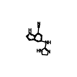 N#Cc1cc(NC2=NCCN2)cc2cc[nH]c12